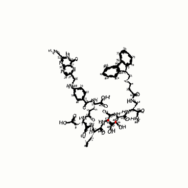 C=CC[C@H](NC(=O)[C@H](CC(=O)O)NC(=O)CC[C@H](NC(=O)c1ccc(NCc2cnc3nc(N)[nH]c(=O)c3n2)cc1)C(=O)O)C(=O)N[C@@H](CC(=O)O)C(=O)N[C@@H](CC(=O)O)C(=O)N[C@@H](CNC(=O)CCSCC1c2ccccc2-c2ccccc21)C(=O)NC